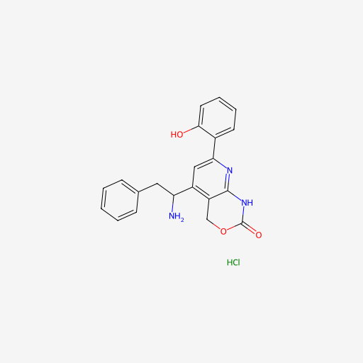 Cl.NC(Cc1ccccc1)c1cc(-c2ccccc2O)nc2c1COC(=O)N2